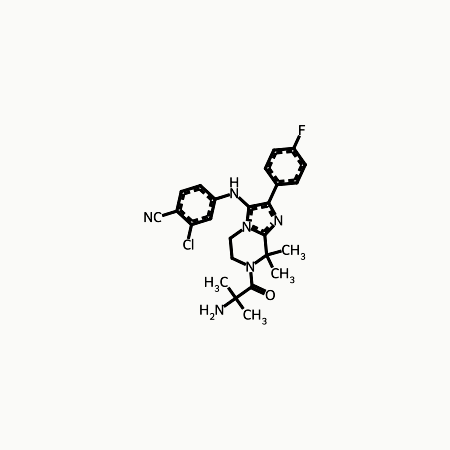 CC(C)(N)C(=O)N1CCn2c(nc(-c3ccc(F)cc3)c2Nc2ccc(C#N)c(Cl)c2)C1(C)C